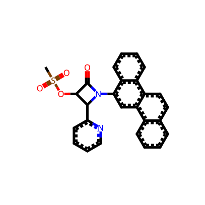 CS(=O)(=O)OC1C(=O)N(c2cc3c4ccccc4ccc3c3ccccc23)C1c1ccccn1